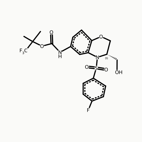 CC(C)(OC(=O)Nc1ccc2c(c1)N(S(=O)(=O)c1ccc(F)cc1)[C@@H](CO)CO2)C(F)(F)F